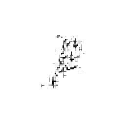 CNCCN(CC(=O)NCCN(CC(=O)NCCN(CC(=O)NC(CCCCN)C(N)=O)C(=O)Cn1cnc2c(N)ncnc21)C(=O)Cn1ccc(=O)[nH]c1=O)C(=O)Cn1cc(C)c(=O)[nH]c1=O